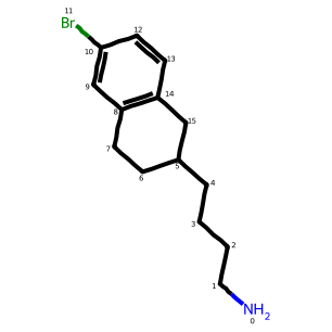 NCCCCC1CCc2cc(Br)ccc2C1